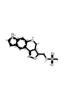 CS(=O)(=O)OCC1ON=C2c3cc4cc[nH]c4cc3OCC21